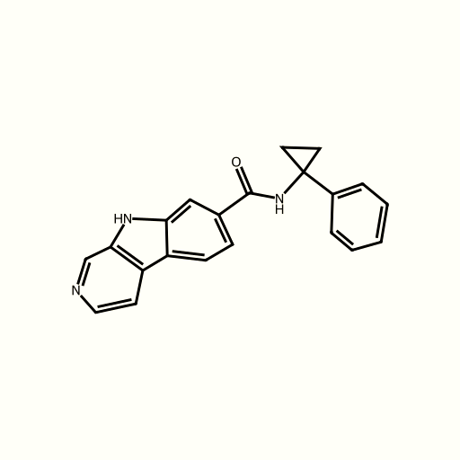 O=C(NC1(c2ccccc2)CC1)c1ccc2c(c1)[nH]c1cnccc12